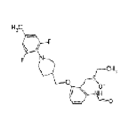 CC[S+]([O-])Cc1c(NC=O)cccc1OCC1CCN(c2c(F)cc(C)cc2F)CC1